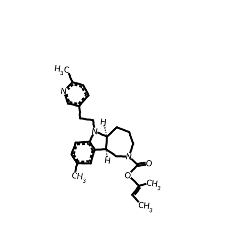 C/C=C(\C)OC(=O)N1CCC[C@H]2[C@@H](C1)c1cc(C)ccc1N2CCc1ccc(C)nc1